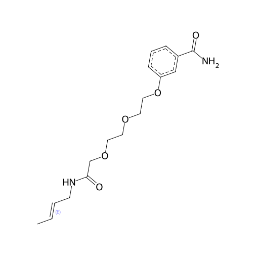 C/C=C/CNC(=O)COCCOCCOc1cccc(C(N)=O)c1